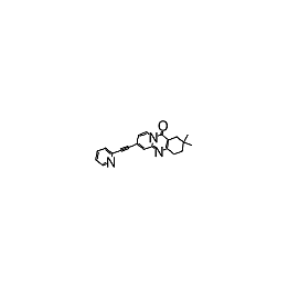 CC1(C)CCc2nc3cc(C#Cc4ccccn4)ccn3c(=O)c2C1